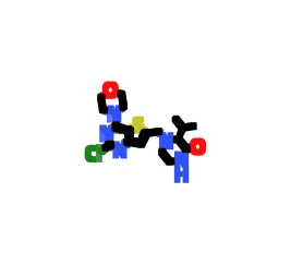 CC(C)[C@H]1C(=O)NCCN1Cc1cc2nc(Cl)nc(N3CCOCC3)c2s1